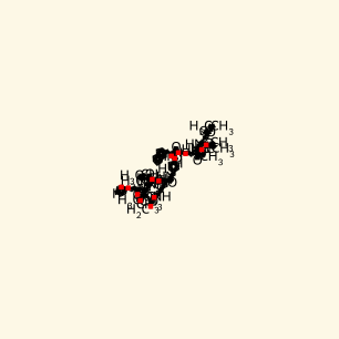 C=CCOC(=O)NCCCCC(NC(=O)CC(NC(=O)CC(NC(=O)CCCc1ccc(I)cc1)C(=O)OC(C)(C)C)C(=O)OC(C)(C)C)C(=O)NCC1CCC(C(=O)N[C@@H](Cc2ccc3ccccc3c2)C(=O)NCCCCC(NC(=O)N[C@@H](CCC(=O)OC(C)C)C(=O)OC(C)(C)C)C(=O)OC)CC1